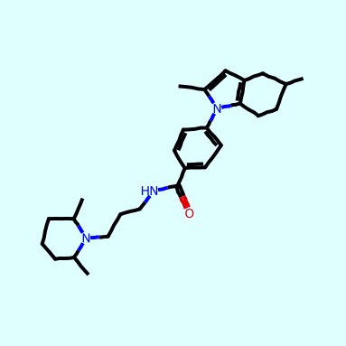 Cc1cc2c(n1-c1ccc(C(=O)NCCCN3C(C)CCCC3C)cc1)CCC(C)C2